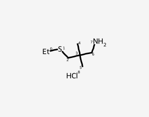 CCSCC(C)(C)CN.Cl